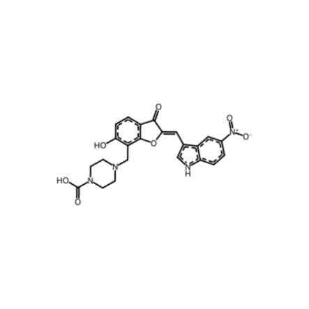 O=C1/C(=C/c2c[nH]c3ccc([N+](=O)[O-])cc23)Oc2c1ccc(O)c2CN1CCN(C(=O)O)CC1